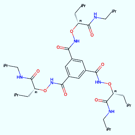 CC(C)CNC(=O)[C@@H](CC(C)C)ONC(=O)c1cc(C(=O)NO[C@H](CC(C)C)C(=O)NCC(C)C)cc(C(=O)NO[C@H](CC(C)C)C(=O)NCC(C)C)c1